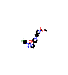 CCOC(=O)N1CCC2(CC(N3CC=C([C@@H]4CCCN4C(O)NC4CC(F)(F)C4)CC3)C2)C1